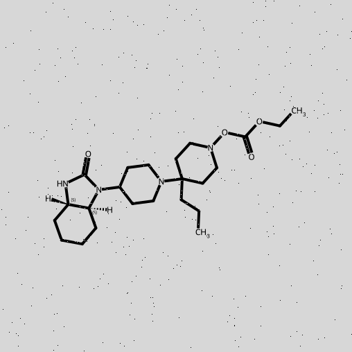 CCCC1(N2CCC(N3C(=O)N[C@H]4CCCC[C@@H]43)CC2)CCN(OC(=O)OCC)CC1